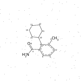 Cc1cccc(C(N)=O)c1C1CCCCC1